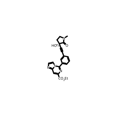 CCOC(=O)c1cc2nccn2c(-c2cccc(C#C[C@@]3(O)CCN(C)C3=O)c2)n1